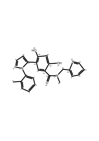 Cc1ccccc1-n1nccc1-c1cc(C(=O)N(C)Cc2ccccn2)c(O)cc1O